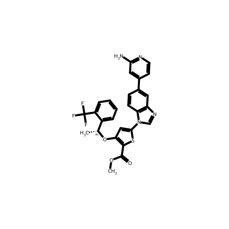 COC(=O)c1sc(-n2cnc3cc(-c4ccnc(N)c4)ccc32)cc1O[C@H](C)c1ccccc1C(F)(F)F